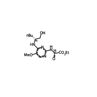 CCCC[C@H](CO)Nc1nc(N[PH](=O)C(=O)OCC)ncc1OC